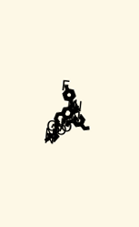 CCc1ccnc(C(=O)[C@]23Cc4cnn(-c5ccc(F)cc5)c4C=C2CCN(S(=O)(=O)c2ccn(C)n2)C3)c1